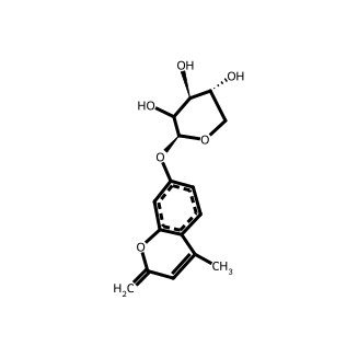 C=C1C=C(C)c2ccc(O[C@@H]3OC[C@@H](O)[C@H](O)C3O)cc2O1